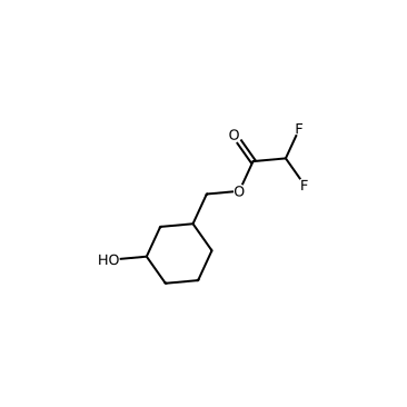 O=C(OCC1CCCC(O)C1)C(F)F